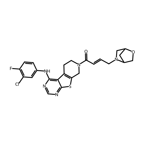 O=C(/C=C/CN1CC2CC1CO2)N1CCc2c(sc3ncnc(Nc4ccc(F)c(Cl)c4)c23)C1